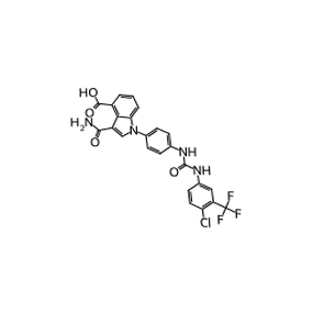 NC(=O)c1cn(-c2ccc(NC(=O)Nc3ccc(Cl)c(C(F)(F)F)c3)cc2)c2cccc(C(=O)O)c12